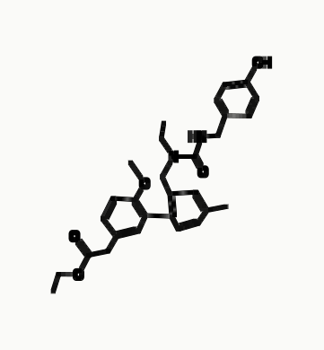 CCOC(=O)Cc1ccc(OC)c(-c2ccc(C)cc2CN(CC)C(=O)NCc2ccc(O)cc2)c1